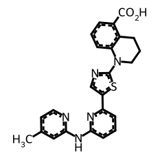 Cc1ccnc(Nc2cccc(-c3cnc(N4CCCc5c(C(=O)O)cccc54)s3)n2)c1